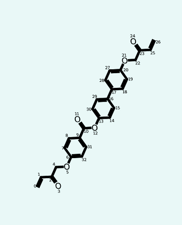 C=CC(=O)COc1ccc(C(=O)Oc2ccc(-c3ccc(OCC(=O)C=C)cc3)cc2)cc1